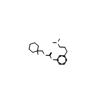 CC[C@H](c1cccc(OC(=O)NCC2(CC)[CH]CCCC2)c1)[C@@H](C)CN(C)C